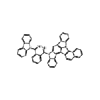 N=C(c1ccccc1C(=N)n1c2ccccc2c2c3c4ccc5ccccc5c4n4c5ccccc5c(cc21)c34)n1c2ccccc2c2ccccc21